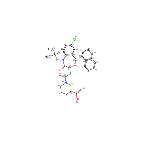 CC(C)(C)CN1C(=O)[C@H](CC(=O)N2CCCC(C(=O)O)C2)O[C@@H](c2cccc3ccccc23)c2cc(Cl)ccc21